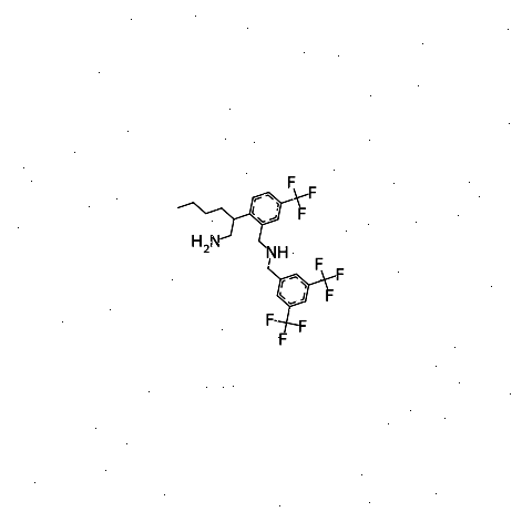 CCCCC(CN)c1ccc(C(F)(F)F)cc1CNCc1cc(C(F)(F)F)cc(C(F)(F)F)c1